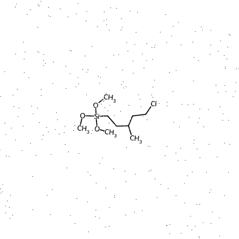 CO[Si](CCC(C)CCCl)(OC)OC